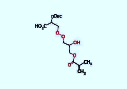 C=C(C)C(=O)OCC(O)COOCC(CCCCCCCCCC)C(=O)O